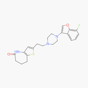 O=C1CCCc2sc(CCN3CCN(c4coc5c(F)cccc45)CC3)cc2N1